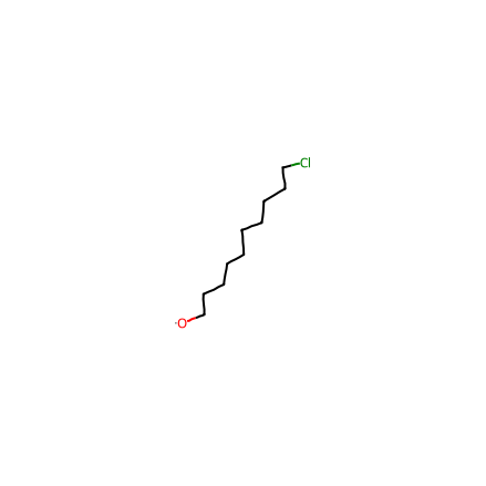 [O]CCCCCCCCCCCl